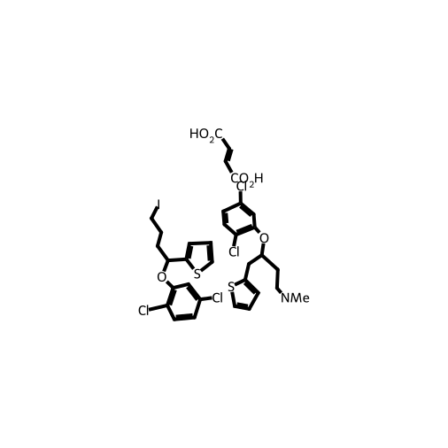 CNCCC(Cc1cccs1)Oc1cc(Cl)ccc1Cl.Clc1ccc(Cl)c(OC(CCCI)c2cccs2)c1.O=C(O)/C=C/C(=O)O